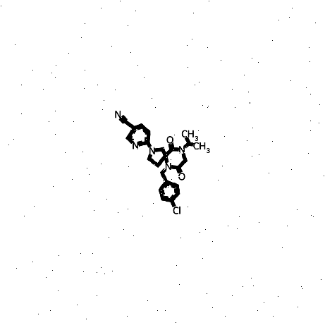 CC(C)N1CC(=O)N(Cc2ccc(Cl)cc2)C2(CCN(c3ccc(C#N)cn3)C2)C1=O